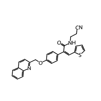 N#CCCNC(=O)/C(=C\c1cccs1)c1ccc(OCc2ccc3ccccc3n2)cc1